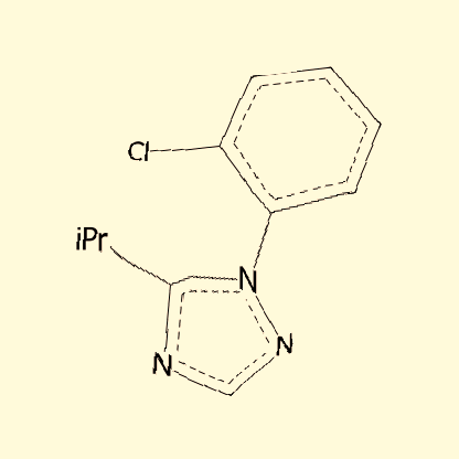 CC(C)c1ncnn1-c1ccccc1Cl